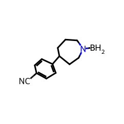 BN1CCCC(c2ccc(C#N)cc2)CC1